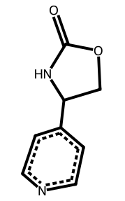 O=C1NC(c2ccncc2)CO1